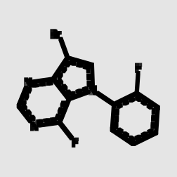 Fc1ccccc1-n1cc(Br)c2ncnc(F)c21